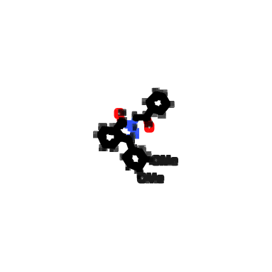 COc1ccc(-c2nn(CC(=O)c3ccccc3)c(=O)c3ccccc23)cc1OC